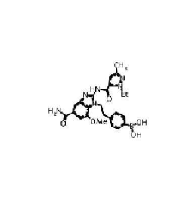 CCn1nc(C)cc1C(=O)Nc1nc2cc(C(N)=O)cc(OC)c2n1CCc1ccc(B(O)O)cc1